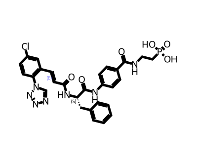 O=C(/C=C/c1cc(Cl)ccc1-n1cnnn1)N[C@@H](Cc1ccccc1)C(=O)Nc1ccc(C(=O)NCCP(=O)(O)O)cc1